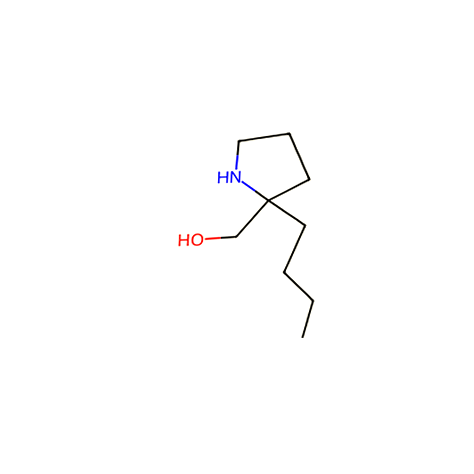 CCCCC1(CO)CCCN1